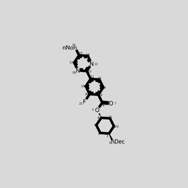 CCCCCCCCCC[C@H]1CC[C@H](OC(=O)c2ccc(-c3ncc(CCCCCCCCC)cn3)cc2F)CC1